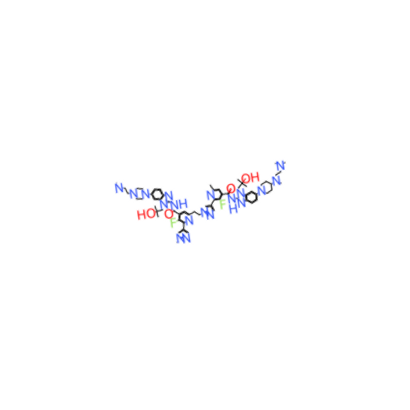 Cc1cc(C(=O)Nc2nc3ccc(N4CCC(N(C)CCN(C)C)CC4)cc3n2CC(C)(C)O)c(F)c(-c2cnn(CCc3cc(C(=O)Nc4nc5ccc(N6CCN(CCN(C)C)CC6)cc5n4CC(C)(C)O)c(F)c(-c4cnn(C)c4)n3)c2)n1